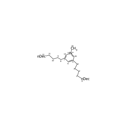 CCCCCCCCCCCCCCc1cc(CCCCCCCCCCCCCC)c[n+](C)c1